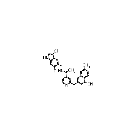 C=C(NCc1cc2c(Cl)c[nH]c2cc1F)c1ccnc(Cc2cc(C#N)c3ncc(C)cc3c2)c1